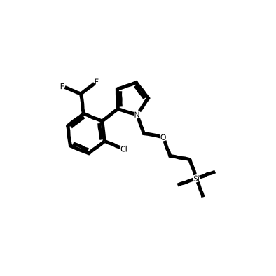 C[Si](C)(C)CCOCn1cccc1-c1c(Cl)cccc1C(F)F